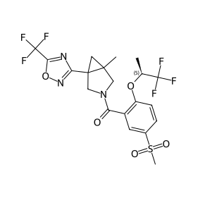 C[C@H](Oc1ccc(S(C)(=O)=O)cc1C(=O)N1CC2(C)CC2(c2noc(C(F)(F)F)n2)C1)C(F)(F)F